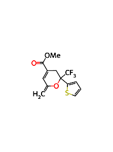 C=C1C=C(C(=O)OC)CC(c2cccs2)(C(F)(F)F)O1